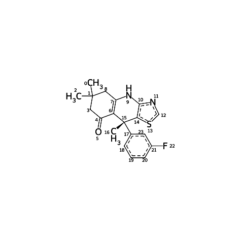 CC1(C)CC(=O)C2=C(C1)Nc1ncsc1[C@]2(C)c1cccc(F)c1